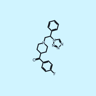 O=C(c1ccc(F)cc1)C1CCN(CC(c2ccccc2)n2cnnn2)CC1